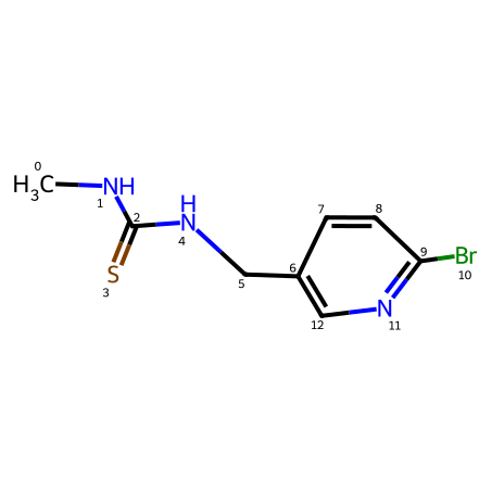 CNC(=S)NCc1ccc(Br)nc1